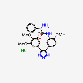 COc1ccc(-c2[nH]nnc2-c2cc(OC)c(OC)c(OC)c2)cc1NC(=O)C(N)c1ccccc1.Cl